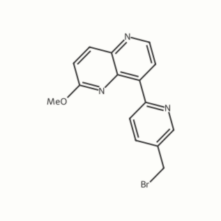 COc1ccc2nccc(-c3ccc(CBr)cn3)c2n1